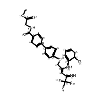 COC(=O)CNC(=O)c1ccc(-c2ccc(OC/C(=C/C(=N)C(F)(F)F)NC3=CC=CCC3Cl)cc2)cc1